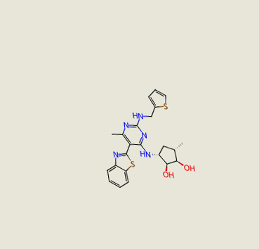 Cc1nc(NCc2cccs2)nc(N[C@@H]2C[C@H](C)[C@@H](O)[C@H]2O)c1-c1nc2ccccc2s1